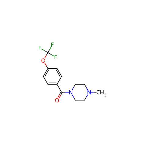 CN1CCN(C(=O)c2ccc(OC(F)(F)F)cc2)CC1